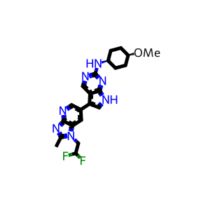 CO[C@H]1CC[C@@H](Nc2ncc3c(-c4cnc5nc(C)n(CC(F)F)c5c4)c[nH]c3n2)CC1